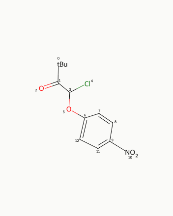 CC(C)(C)C(=O)C(Cl)Oc1ccc([N+](=O)[O-])cc1